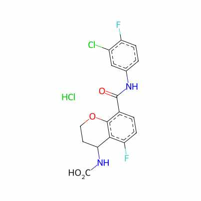 Cl.O=C(O)NC1CCOc2c(C(=O)Nc3ccc(F)c(Cl)c3)ccc(F)c21